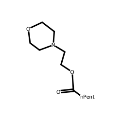 CCCCCC(=O)OCCN1CCOCC1